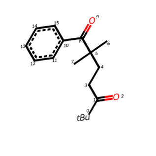 CC(C)(C)C(=O)CCC(C)(C)C(=O)c1ccccc1